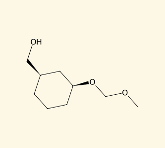 COCO[C@H]1CCC[C@@H](CO)C1